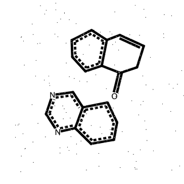 O=C1CC=Cc2ccccc21.c1ccc2ncncc2c1